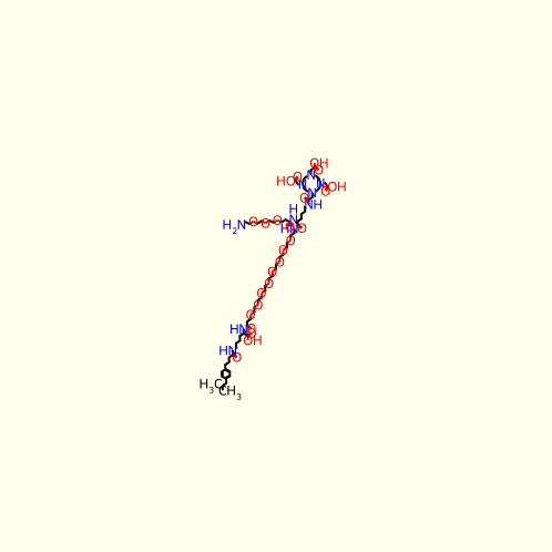 CC(C)Cc1ccc(CCCC(=O)NCCCCC(NC(=O)CCOCCOCCOCCOCCOCCOCCOCCOCCNC(=O)C(CCCCNC(=O)CN2CCN(CC(=O)O)CCN(CC(=O)O)CCN(CC(=O)O)CC2)NC(=O)CCOCCOCCOCCN)C(=O)O)cc1